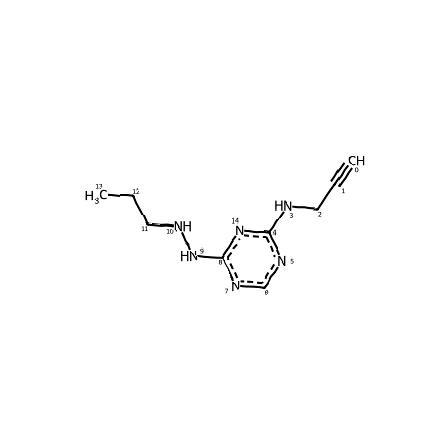 C#CCNc1ncnc(NNCCC)n1